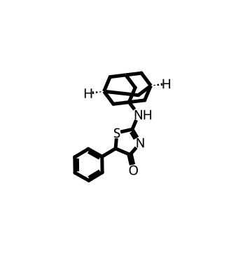 O=C1N=C(NC23CC4C[C@H](C2)C[C@@H](C4)C3)SC1c1ccccc1